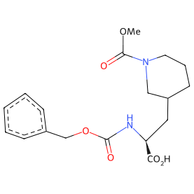 COC(=O)N1CCCC(C[C@H](NC(=O)OCc2ccccc2)C(=O)O)C1